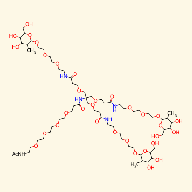 CC(=O)NCCOCCOCCOCCOCCC(=O)NC(COCCC(=O)NCCOCCOCCOC1OC(CO)C(O)C(O)C1C)(COCCC(=O)NCCOCCOCCOC1OC(CO)C(O)C(O)C1C)COCCC(=O)NCCOCCOCCOC1OC(CO)C(O)C(O)C1C